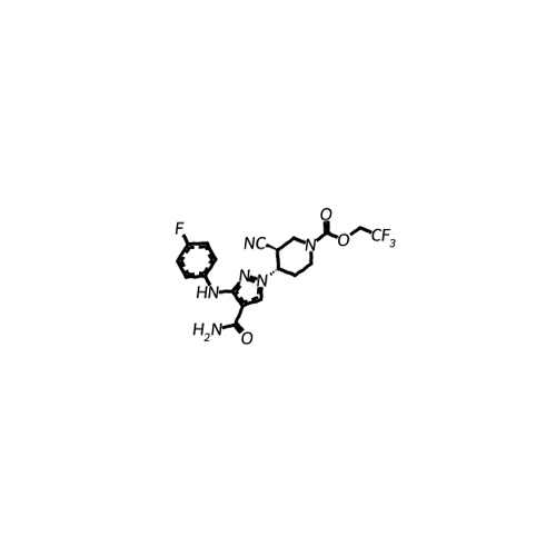 N#C[C@H]1CN(C(=O)OCC(F)(F)F)CC[C@@H]1n1cc(C(N)=O)c(Nc2ccc(F)cc2)n1